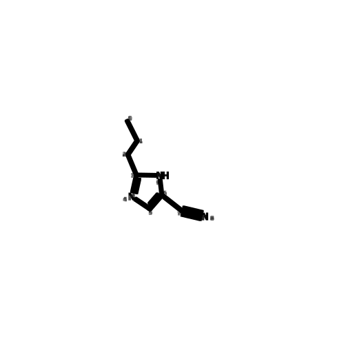 CCCc1ncc(C#N)[nH]1